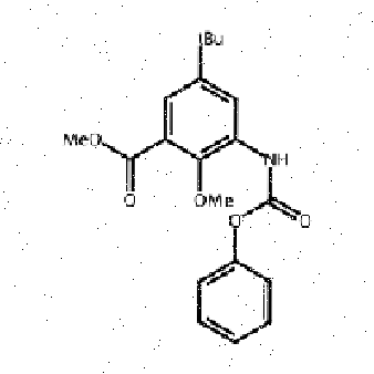 COC(=O)c1cc(C(C)(C)C)cc(NC(=O)Oc2ccccc2)c1OC